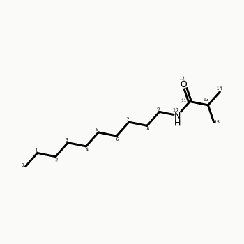 CCCCCCCCCCNC(=O)C(C)C